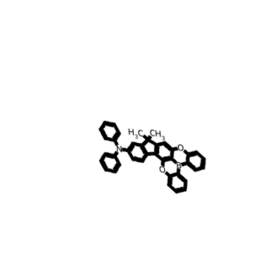 CC1(C)c2cc(N(c3ccccc3)c3ccccc3)ccc2-c2c1cc1c3c2Oc2ccccc2B3c2ccccc2O1